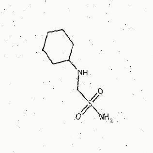 NS(=O)(=O)CNC1CCCCC1